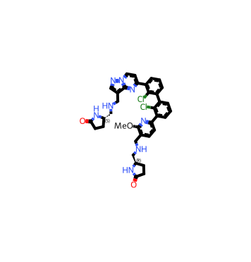 COc1nc(-c2cccc(-c3cccc(-c4ccn5ncc(CNC[C@@H]6CCC(=O)N6)c5n4)c3Cl)c2Cl)ccc1CNC[C@H]1CCC(=O)N1